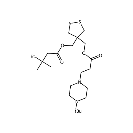 CCC(C)(C)CC(=O)OCC1(COC(=O)CCN2CCN(C(C)(C)C)CC2)CSSC1